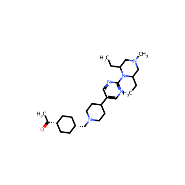 CCC1CN(C)CC(CC)N1c1ncc(C2CCN(C[C@H]3CC[C@@H](C(C)=O)CC3)CC2)cn1